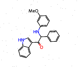 COc1cccc(NC(C(=O)c2c[nH]c3ccccc23)c2ccccc2)c1